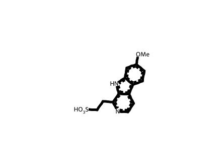 COc1ccc2c(c1)[nH]c1c(CCS(=O)(=O)O)nccc12